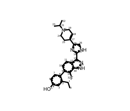 CCc1cc(O)ccc1-c1ccc2c(-c3nc(C4=CCN(C(C)C)CC4)c[nH]3)n[nH]c2c1F